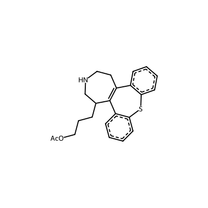 CC(=O)OCCCC1CNCCC2=C1c1ccccc1Sc1ccccc12